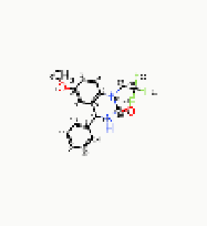 COc1ccc2c(c1)C(c1ccccc1)NC(=O)N2CC(F)(F)F